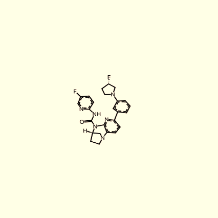 O=C(Nc1ccc(F)cn1)N1c2nc(-c3cccc(N4CC[C@H](F)C4)c3)ccc2N2CC[C@H]1C2